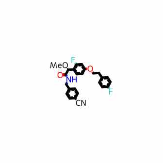 CO[C@H](C(=O)NCc1ccc(C#N)cc1)c1ccc(OCCc2ccc(F)cc2)cc1F